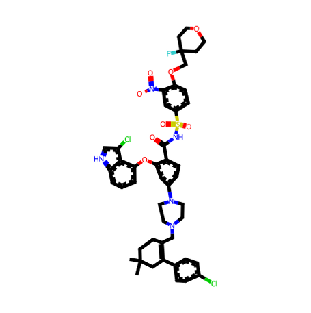 CC1(C)CCC(CN2CCN(c3ccc(C(=O)NS(=O)(=O)c4ccc(OCC5(F)CCOCC5)c([N+](=O)[O-])c4)c(Oc4cccc5[nH]cc(Cl)c45)c3)CC2)=C(c2ccc(Cl)cc2)C1